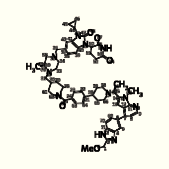 COCc1nc2cc(-c3ccnc4c3cc([C@H](C)N3CCC(c5ccc(C(=O)N6CCC(CN7CCN(Cc8ccc9c(c8)n(C8CC8)c(=O)n9C8CCC(=O)NC8=O)C[C@@H]7C)CC6)cc5)CC3)n4C)ccc2[nH]1